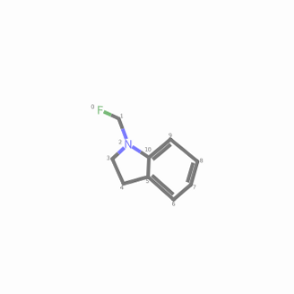 FCN1CCc2ccccc21